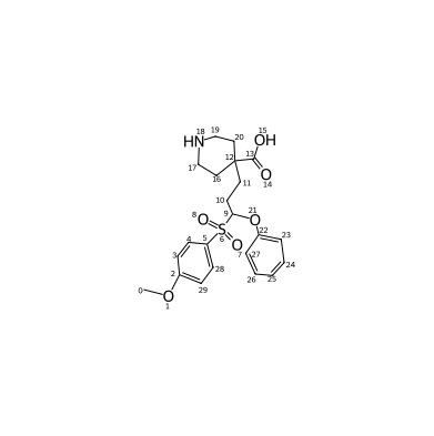 COc1ccc(S(=O)(=O)C(CCC2(C(=O)O)CCNCC2)Oc2ccccc2)cc1